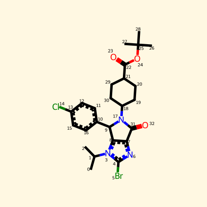 CC(C)n1c(Br)nc2c1C(c1ccc(Cl)cc1)N(C1CCC(C(=O)OC(C)(C)C)CC1)C2=O